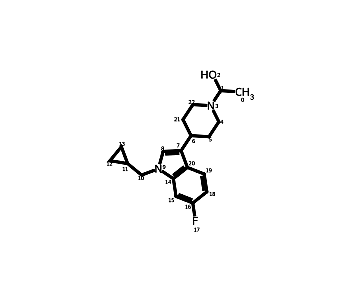 C[C](O)N1CCC(c2cn(CC3CC3)c3cc(F)ccc23)CC1